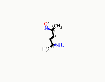 C=C(N)/C=C/C(=C)N=O